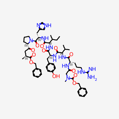 CCC(C)[C@H](NC(=O)[C@H](Cc1ccc(O)cc1)NC(=O)[C@@H](NC(=O)[C@H](CCCNC(=N)N)NC(=O)CN(C)C(=O)OCc1ccccc1)C(C)C)C(=O)N[C@@H](Cc1c[nH]cn1)C(=O)N1CCC[C@H]1C(=O)C[C@H](C)C(=O)OCc1ccccc1